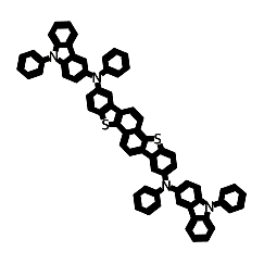 c1ccc(N(c2ccc3sc4c(ccc5c4ccc4c6cc(N(c7ccccc7)c7ccc8c(c7)c7ccccc7n8-c7ccccc7)ccc6sc45)c3c2)c2ccc3c(c2)c2ccccc2n3-c2ccccc2)cc1